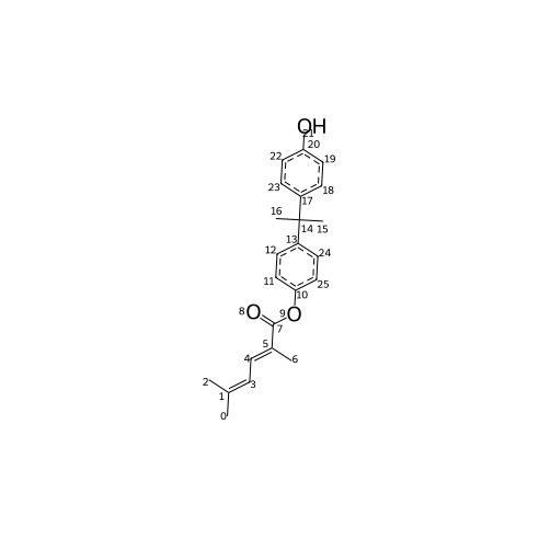 CC(C)=C/C=C(\C)C(=O)Oc1ccc(C(C)(C)c2ccc(O)cc2)cc1